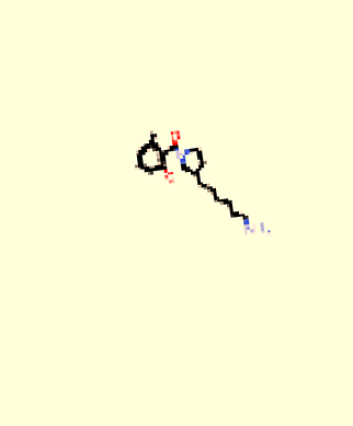 COc1cccc(C)c1C(=O)N1CCC(CCCCCCN)C1